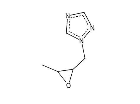 CC1OC1Cn1cncn1